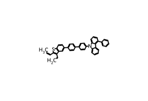 C=Cc1c(/C=C\C)sc2ccc(-c3ccc(-c4ccc(-n5c6ccccc6c6c(-c7ccccc7)cccc65)cc4)cc3)cc12